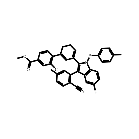 COC(=O)c1ccc(C2=CC(c3c(-c4cc(C)ccc4C#N)c4cc(F)ccc4n3Sc3ccc(C)cc3)=CCC2)c(Cl)c1